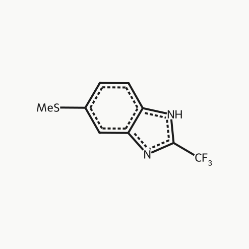 CSc1ccc2[nH]c(C(F)(F)F)nc2c1